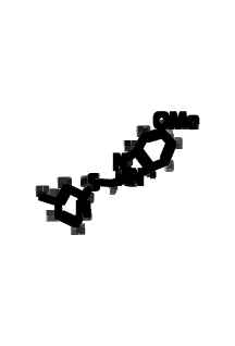 COc1ccc2[nH]c(CSc3cc(C)ccn3)nc2c1